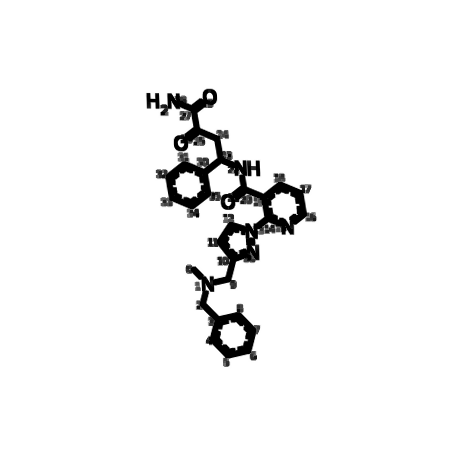 CN(Cc1ccccc1)Cc1ccn(-c2ncccc2C(=O)NC(CC(=O)C(N)=O)c2ccccc2)n1